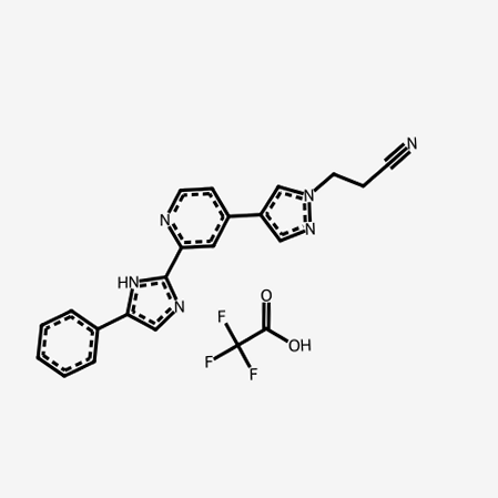 N#CCCn1cc(-c2ccnc(-c3ncc(-c4ccccc4)[nH]3)c2)cn1.O=C(O)C(F)(F)F